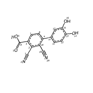 N#Cc1c(C(=O)O)ccc(-c2ccc(O)c(O)c2)c1C#N